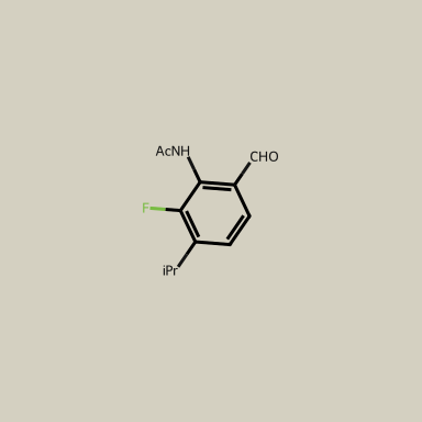 CC(=O)Nc1c(C=O)ccc(C(C)C)c1F